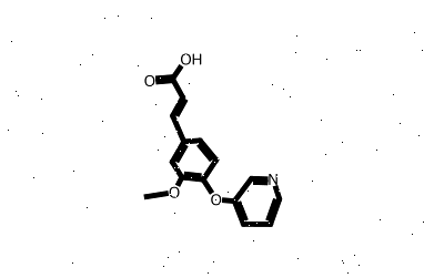 COc1cc(C=CC(=O)O)ccc1Oc1cccnc1